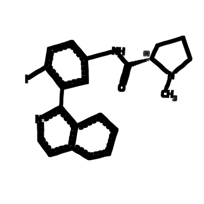 CN1CCC[C@H]1C(=O)Nc1ccc(I)c(-c2nccc3ccccc23)c1